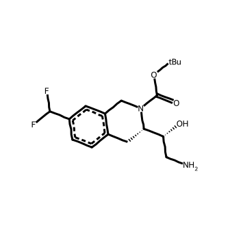 CC(C)(C)OC(=O)N1Cc2cc(C(F)F)ccc2C[C@H]1[C@H](O)CN